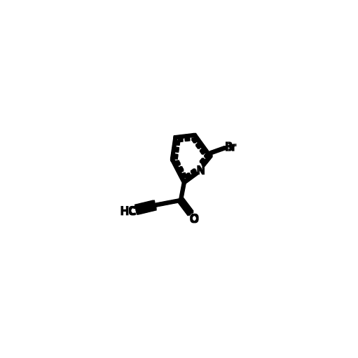 C#CC(=O)c1cccc(Br)n1